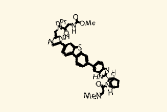 CCCN(Cc1ncc(-c2ccc3c(c2)sc2cc(-c4ccc5nc([C@@H]6[C@H]7CC[C@H](C7)N6C(=O)CNC)[nH]c5c4)ccc23)[nH]1)C(=O)CNC(=O)OC